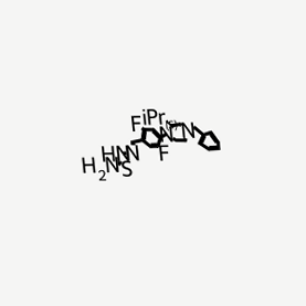 CC(C)[C@H]1CN(Cc2ccccc2)CCN1c1cc(F)c(C=NNC(N)=S)cc1F